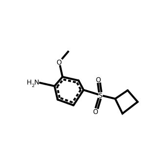 COc1cc(S(=O)(=O)C2CCC2)ccc1N